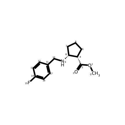 COC(=O)[C@H]1CCC[C@H]1NCc1ccc(F)cc1